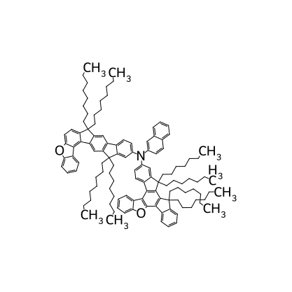 CCCCCCCCC1(CCCCCCCC)c2cc(N(c3ccc4c(c3)C(CCCCCCC)(CCCCCCC)c3c5c(c6oc7ccccc7c6c3-4)-c3ccccc3C5(CCCCCCC)CCCCCCC)c3ccc4ccccc4c3)ccc2-c2cc3c(cc21)-c1c(ccc2oc4ccccc4c12)C3(CCCCCCCC)CCCCCCCC